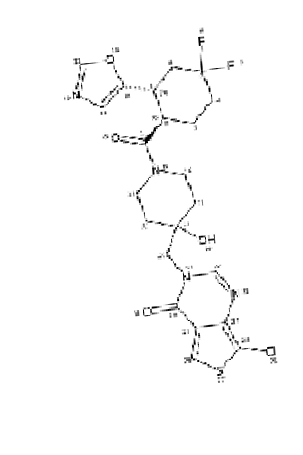 O=C([C@@H]1CCC(F)(F)C[C@H]1c1cnco1)N1CCC(O)(Cn2cnc3c(Cl)scc3c2=O)CC1